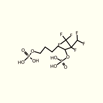 O=P(O)(O)OCCCCC(OP(=O)(O)O)C(F)(C(F)F)C(F)(F)F